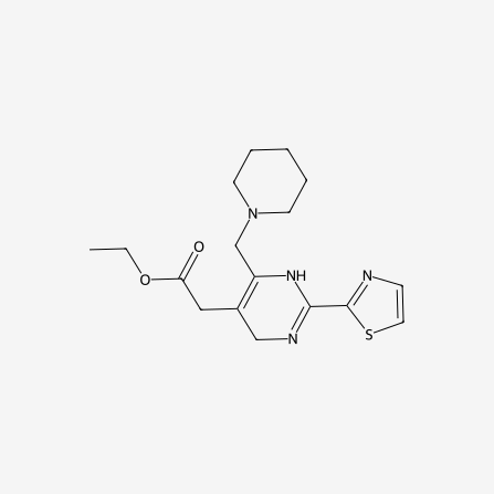 CCOC(=O)CC1=C(CN2CCCCC2)NC(c2nccs2)=NC1